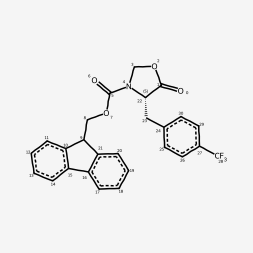 O=C1OCN(C(=O)OCC2c3ccccc3-c3ccccc32)[C@H]1Cc1ccc(C(F)(F)F)cc1